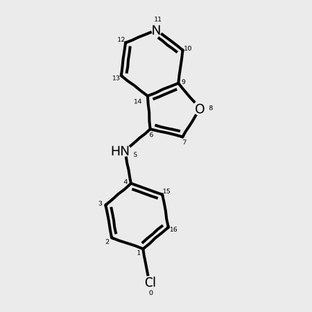 Clc1ccc(Nc2coc3cnccc23)cc1